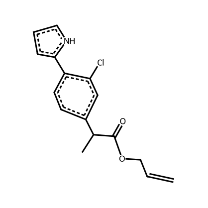 C=CCOC(=O)C(C)c1ccc(-c2ccc[nH]2)c(Cl)c1